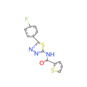 O=C(Nc1nnc(-c2ccc(F)cc2)s1)c1cccs1